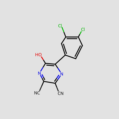 N#Cc1nc(O)c(-c2ccc(Cl)c(Cl)c2)nc1C#N